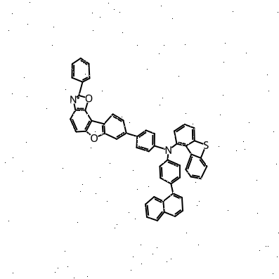 c1ccc(-c2nc3ccc4oc5cc(-c6ccc(N(c7ccc(-c8cccc9ccccc89)cc7)c7cccc8sc9ccccc9c78)cc6)ccc5c4c3o2)cc1